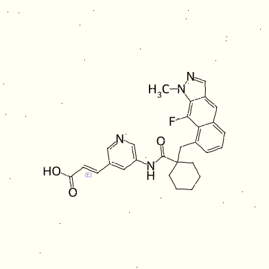 Cn1ncc2cc3cccc(CC4(C(=O)Nc5cncc(/C=C/C(=O)O)c5)CCCCC4)c3c(F)c21